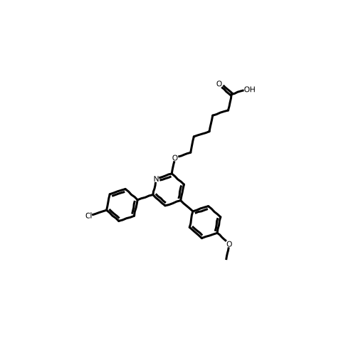 COc1ccc(-c2cc(OCCCCCC(=O)O)nc(-c3ccc(Cl)cc3)c2)cc1